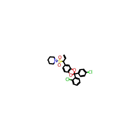 C=CC(c1ccc2c(c1)OC(c1ccc(Cl)cc1)(c1ccccc1Cl)O2)S(=O)(=O)N1CCCCC1